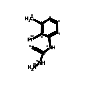 Cc1cccc(NC(=S)NN)c1C(C)C